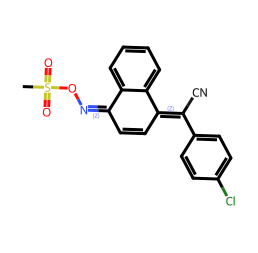 CS(=O)(=O)O/N=C1C=C/C(=C(/C#N)c2ccc(Cl)cc2)c2ccccc2/1